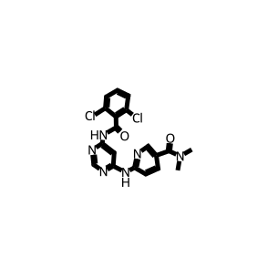 CN(C)C(=O)c1ccc(Nc2cc(NC(=O)c3c(Cl)cccc3Cl)ncn2)nc1